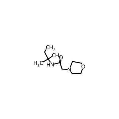 CCC(C)(C)NC(=O)CN1CCOCC1